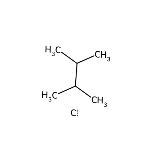 CC(C)C(C)C.[C]